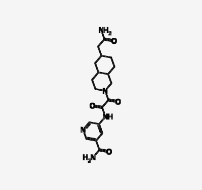 NC(=O)CC1CCC2CN(C(=O)C(=O)Nc3cncc(C(N)=O)c3)CCC2C1